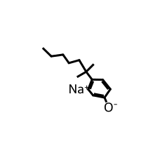 CCCCCC(C)(C)c1ccc([O-])cc1.[Na+]